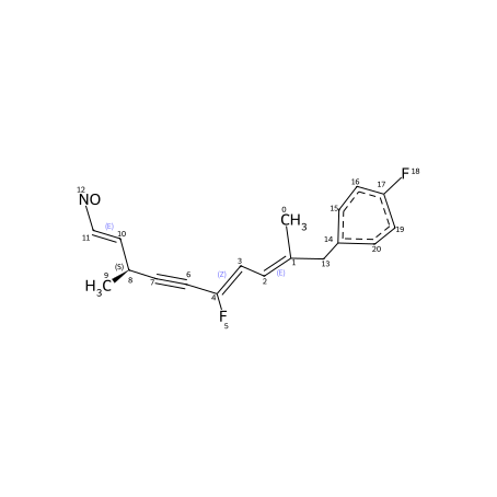 C/C(=C\C=C(/F)C#C[C@@H](C)/C=C/N=O)Cc1ccc(F)cc1